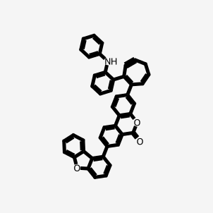 O=c1oc2cc(C3=C(c4ccccc4Nc4ccccc4)C#CCC=C3)ccc2c2ccc(-c3cccc4oc5ccccc5c34)cc12